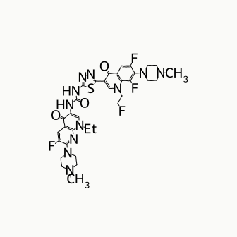 CCn1cc(NC(=O)Nc2nnc(-c3cn(CCF)c4c(F)c(N5CCN(C)CC5)c(F)cc4c3=O)s2)c(=O)c2cc(F)c(N3CCN(C)CC3)nc21